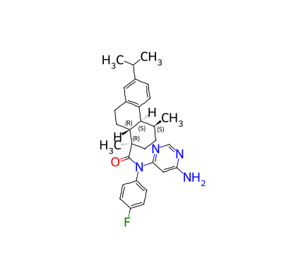 CC(C)c1ccc2c(c1)CC[C@@H]1[C@@H]2[C@@H](C)CC[C@@]1(C)C(=O)N(c1ccc(F)cc1)c1cc(N)ncn1